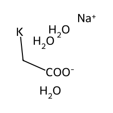 O.O.O.O=C([O-])[CH2][K].[Na+]